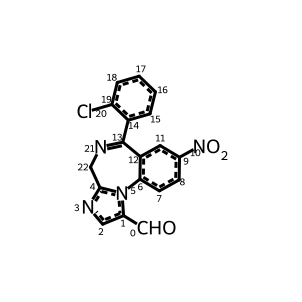 O=Cc1cnc2n1-c1ccc([N+](=O)[O-])cc1C(c1ccccc1Cl)=NC2